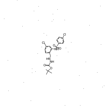 CC(C)(C)OC(=O)NNCc1ccc(Cl)cc1NS(=O)(=O)c1ccc(Cl)cc1